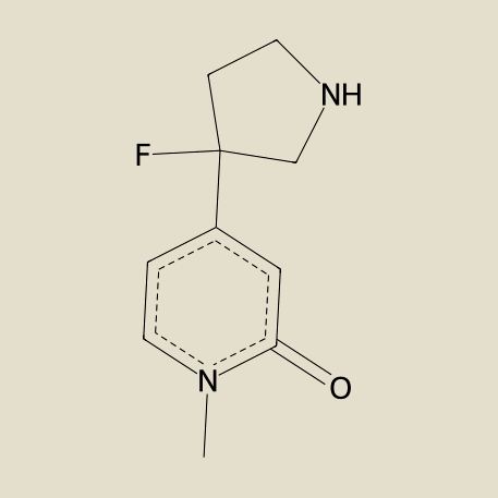 Cn1ccc(C2(F)CCNC2)cc1=O